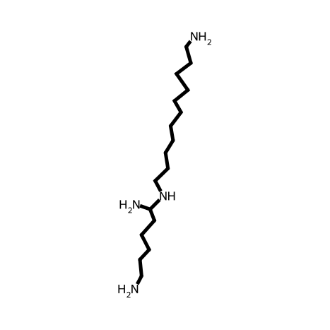 NCCCCCCCCCCCNC(N)CCCCCN